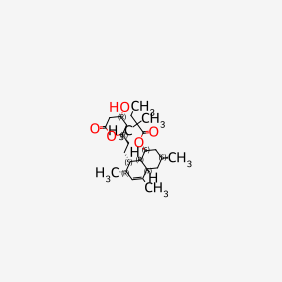 CCC(C)(C)C(=O)O[C@H]1C[C@@H](C)C[C@@H]2C(C)=C[C@H](C)[C@H](CC[C@@H]3C[C@@H](O)CC(=O)O3)[C@@H]12